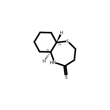 S=C1CCS[C@H]2CCCC[C@@H]2N1